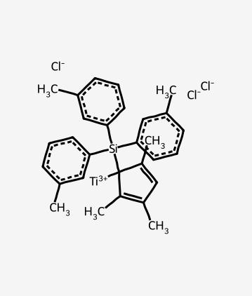 CC1=CC(C)=C(C)[C]1([Ti+3])[Si](c1cccc(C)c1)(c1cccc(C)c1)c1cccc(C)c1.[Cl-].[Cl-].[Cl-]